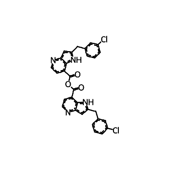 O=C(OC(=O)c1ccnc2cc(Cc3cccc(Cl)c3)[nH]c12)c1ccnc2cc(Cc3cccc(Cl)c3)[nH]c12